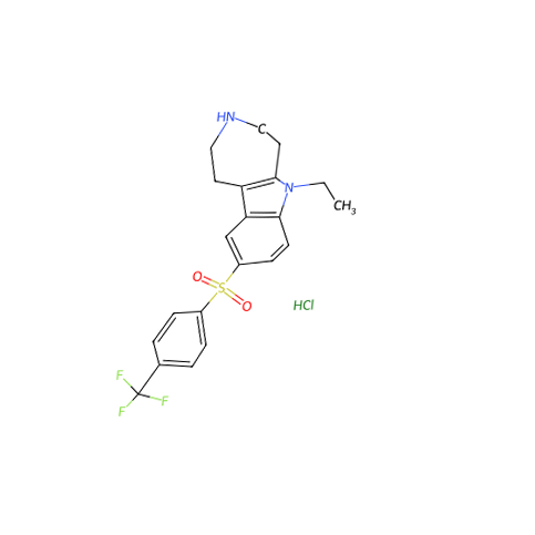 CCn1c2c(c3cc(S(=O)(=O)c4ccc(C(F)(F)F)cc4)ccc31)CCNCC2.Cl